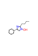 CCCCc1nc(-c2ccccc2)cn1O